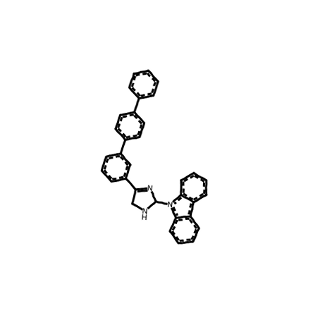 c1ccc(-c2ccc(-c3cccc(C4=NC(n5c6ccccc6c6ccccc65)NC4)c3)cc2)cc1